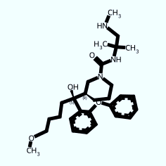 CNCC(C)(C)NC(=O)N1CCC[C@@H]([C@@](O)(CCCCOC)c2ccccc2Oc2ccccc2)C1